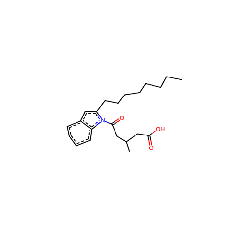 CCCCCCCCc1cc2ccccc2n1C(=O)CC(C)CC(=O)O